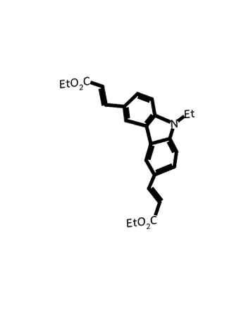 CCOC(=O)/C=C/c1ccc2c(c1)c1cc(/C=C/C(=O)OCC)ccc1n2CC